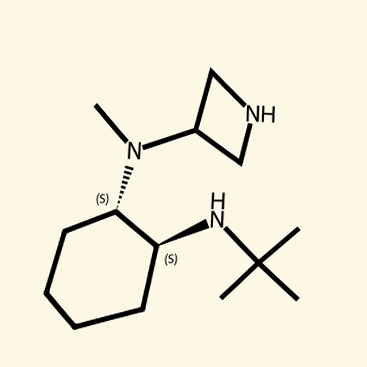 CN(C1CNC1)[C@H]1CCCC[C@@H]1NC(C)(C)C